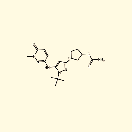 Cn1nc(Nc2cc([C@H]3CCC(OC(N)=O)C3)nn2C(C)(C)C)ccc1=O